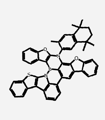 Cc1cc2c(cc1N1c3oc4ccccc4c3B3c4c(cc5c(oc6ccccc65)c41)-c1cccc4c5c6ccccc6sc5n3c14)C(C)(C)CCC2(C)C